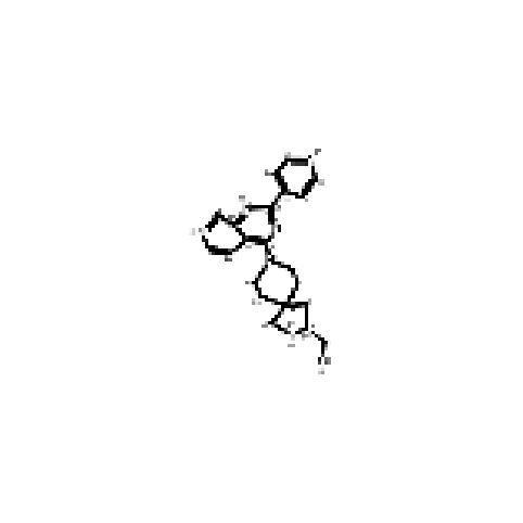 OC[C@@H]1CC2(CCN(c3nc(-c4ccncc4)nc4cnccc34)CC2)CN1